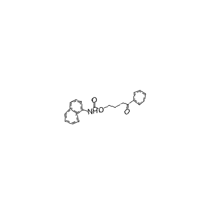 O=C(Nc1cccc2ccccc12)OCCCC(=O)c1ccccc1